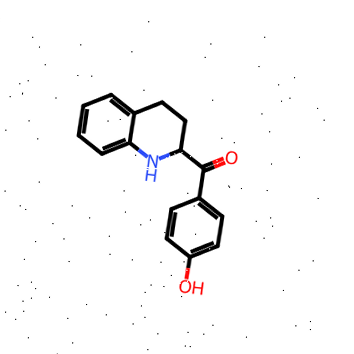 O=C(c1ccc(O)cc1)C1CCc2ccccc2N1